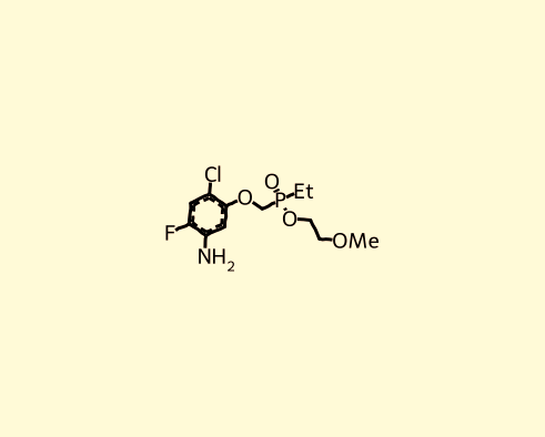 CCP(=O)(COc1cc(N)c(F)cc1Cl)OCCOC